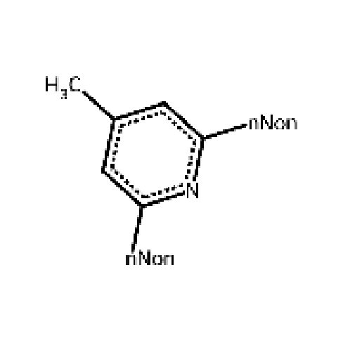 CCCCCCCCCc1cc(C)cc(CCCCCCCCC)n1